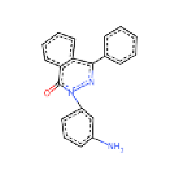 Nc1cccc(-n2nc(-c3ccccc3)c3ccccc3c2=O)c1